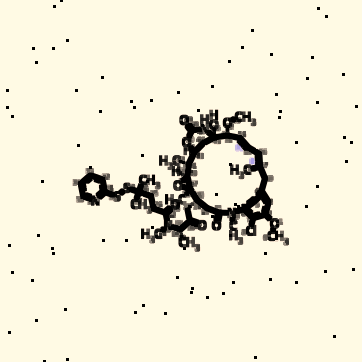 COc1cc2cc(c1Cl)N(C)C(=O)C[C@H](CC(=O)[C@H](C)N(C)C(=O)CCC(C)(C)SSc1ccccn1)[C@]1(C)O[C@H]1[C@H](C)[C@@H]1C[C@@](O)(NC(=O)O1)[C@H](OC)/C=C/C=C(\C)C2